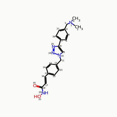 CN(C)Cc1ccc(-c2cn(Cc3ccc(/C=C/C(=O)NO)cc3)nn2)cc1